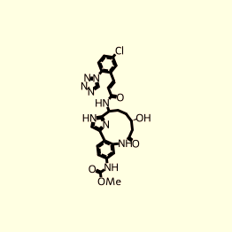 COC(=O)Nc1ccc2c(c1)NC(=O)C[C@@H](O)CCC(NC(=O)/C=C/c1cc(Cl)ccc1-n1cnnn1)c1nc-2c[nH]1